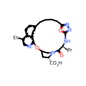 CCc1cnc2c3cc(ccc13)CCCCc1nnc(o1)N[C@@H](C(C)C)C(=O)N1CC(C[C@H]1C(=O)O)O2